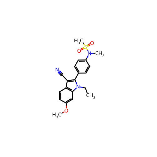 CCn1c(-c2ccc(N(C)S(C)(=O)=O)cc2)c(C#N)c2ccc(OC)cc21